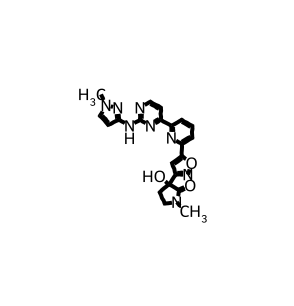 CN1CCC(O)(c2cc(-c3cccc(-c4ccnc(Nc5ccn(C)n5)n4)n3)on2)C1=O